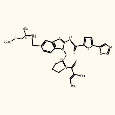 CC(C)(C)C=C(C#N)C(=O)N1CCC[C@@H]1Cn1c(NC(=O)c2ccc(-c3cnco3)s2)nc2cc(CN[C@@H](COC=O)C(C)(C)C)ccc21